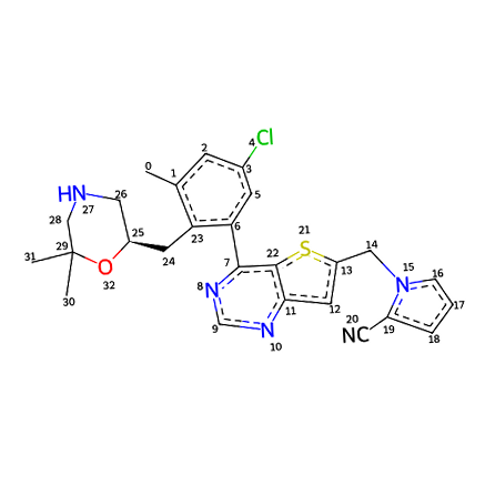 Cc1cc(Cl)cc(-c2ncnc3cc(Cn4cccc4C#N)sc23)c1C[C@@H]1CNCC(C)(C)O1